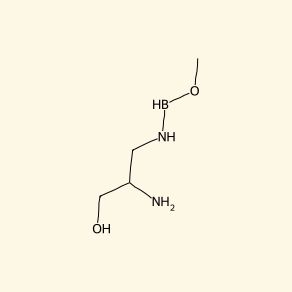 COBNCC(N)CO